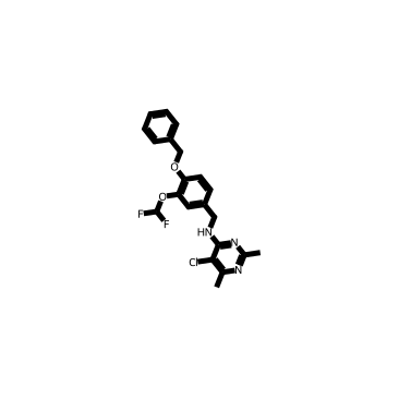 Cc1nc(C)c(Cl)c(NCc2ccc(OCc3ccccc3)c(OC(F)F)c2)n1